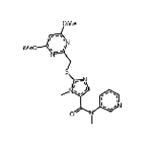 COc1cc(OC)nc(CSc2ncc(C(=O)N(C)c3cccnc3)n2C)n1